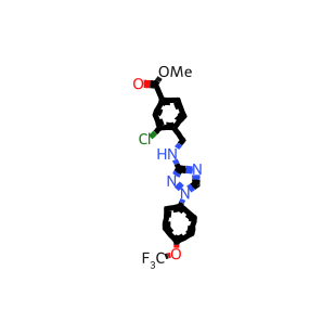 COC(=O)c1ccc(CNc2ncn(-c3ccc(OC(F)(F)F)cc3)n2)c(Cl)c1